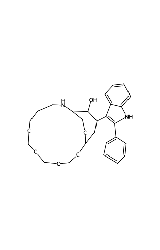 OC1C2CCC(CCCCCCCCCCN2)CC1c1c(-c2ccccc2)[nH]c2ccccc12